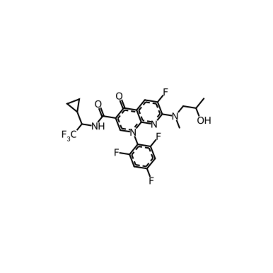 CC(O)CN(C)c1nc2c(cc1F)c(=O)c(C(=O)NC(C1CC1)C(F)(F)F)cn2-c1c(F)cc(F)cc1F